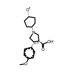 COc1ccc([C@@H]2CN([C@H]3CC[C@@H](OC)CC3)C[C@H]2C(=O)O)cc1